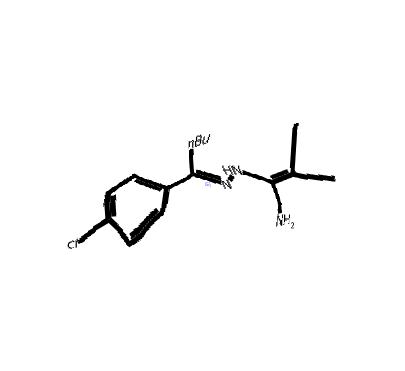 CCCC/C(=N\NC(N)=C(C)C)c1ccc(Cl)cc1